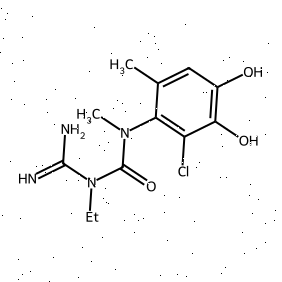 CCN(C(=N)N)C(=O)N(C)c1c(C)cc(O)c(O)c1Cl